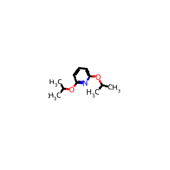 CC(C)Oc1cccc(OC(C)C)n1